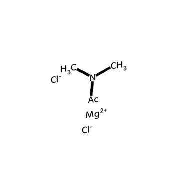 CC(=O)N(C)C.[Cl-].[Cl-].[Mg+2]